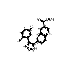 COC(=O)c1cnc2ccc(-c3[nH]nnc3-c3cc(Cl)ccc3F)nc2c1